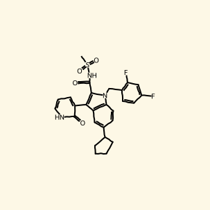 CS(=O)(=O)NC(=O)c1c(-c2ccc[nH]c2=O)c2cc(C3CCCC3)ccc2n1Cc1ccc(F)cc1F